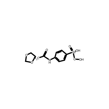 C1COCO1.CC(=O)Nc1ccc([As](=O)(O)OO)cc1